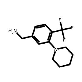 NCc1ccc(C(F)(F)F)c(N2CCCCC2)c1